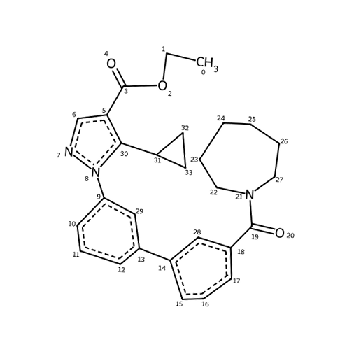 CCOC(=O)c1cnn(-c2cccc(-c3cccc(C(=O)N4CCCCCC4)c3)c2)c1C1CC1